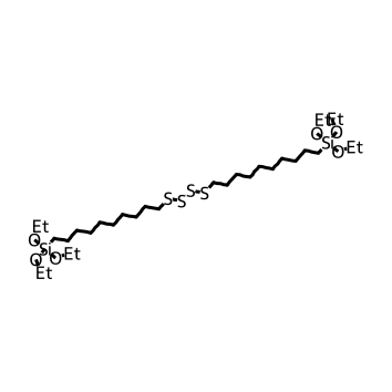 CCO[Si](CCCCCCCCCCSSSSCCCCCCCCCC[Si](OCC)(OCC)OCC)(OCC)OCC